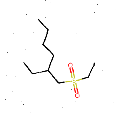 C[CH]S(=O)(=O)CC(CC)CCCC